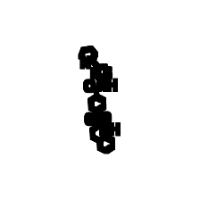 O=C(Nc1nc(-c2ccccn2)cs1)c1ccc(S(=O)(=O)C2CCc3ccccc3N2)cc1